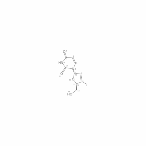 CC1=C[C@H](n2ccc(=O)[nH]c2=O)O[C@@H]1CO